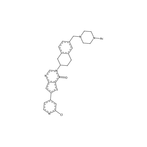 CC(=O)N1CCN(Cc2ccc3c(c2)CCC(n2cnc4cc(-c5ccnc(Cl)c5)sc4c2=O)C3)CC1